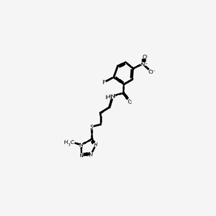 Cn1nnnc1SCCCNC(=O)c1cc([N+](=O)[O-])ccc1F